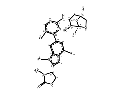 CC(C)n1c([C@@H]2COC(=O)N2C)nc2c(F)cc(-c3nc(N[C@@H]4C[C@H]5CO[C@H](O5)[C@H]4O)ncc3Cl)cc21